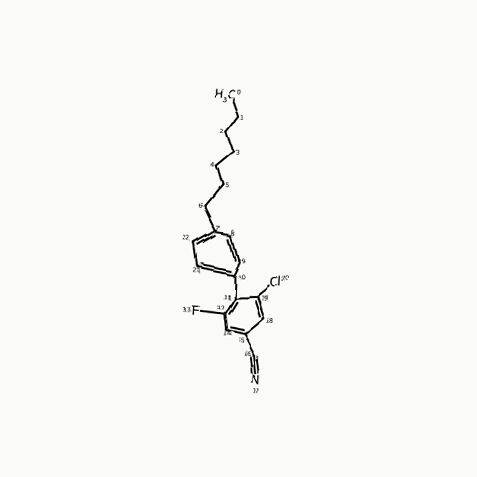 CCCCCCCc1ccc(-c2c(F)cc(C#N)cc2Cl)cc1